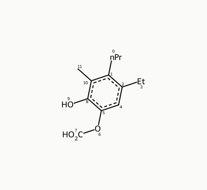 CCCc1c(CC)cc(OC(=O)O)c(O)c1C